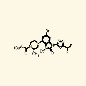 CCn1c(=O)n(-c2nnc(C(F)F)s2)c2cc(Br)cc(N3CCN(C(=O)OC(C)(C)C)[C@@H](C)C3)c21